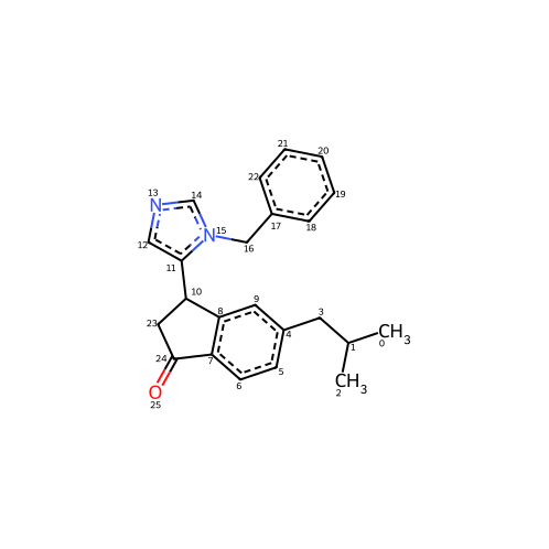 CC(C)Cc1ccc2c(c1)C(c1cncn1Cc1ccccc1)CC2=O